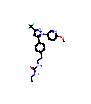 CCNC(=O)NCCc1ccc(-c2cc(C(F)(F)F)nn2-c2ccc(OC)nc2)cc1